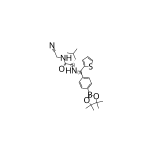 CC(C)C[C@H](N[C@@H](c1ccc(B2OC(C)(C)C(C)(C)O2)cc1)c1cccs1)C(=O)NCC#N